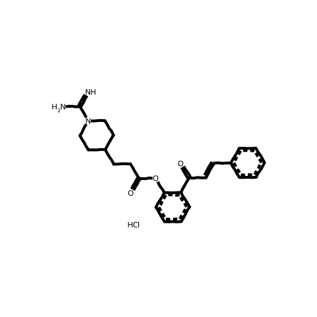 Cl.N=C(N)N1CCC(CCC(=O)Oc2ccccc2C(=O)C=Cc2ccccc2)CC1